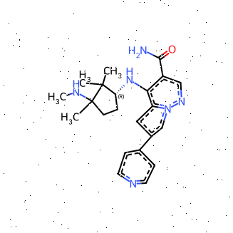 CNC1(C)CC[C@@H](Nc2c(C(N)=O)cnn3cc(-c4ccncc4)cc23)C1(C)C